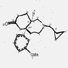 COc1cccc([C@@]23CCN(CC4CC4)C[C@@H]2CCC(=O)C3)c1